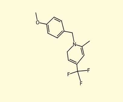 COc1ccc(CN2CC=C(C(F)(F)F)C=C2C)cc1